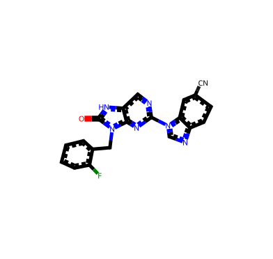 N#Cc1ccc2ncn(-c3ncc4[nH]c(=O)n(Cc5ccccc5F)c4n3)c2c1